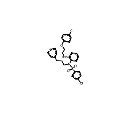 O=S(=O)(c1ccc(Cl)cc1)N(CCCc1ccncc1)c1ccccc1NCCOc1ccc(Cl)cc1